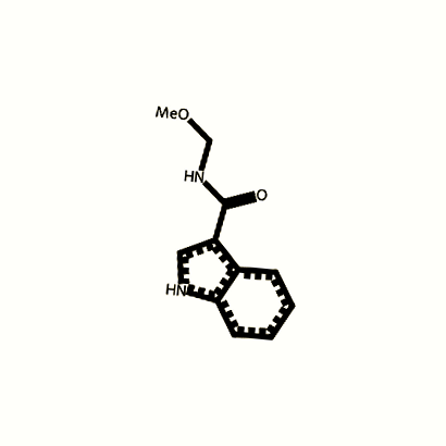 COCNC(=O)c1c[nH]c2ccccc12